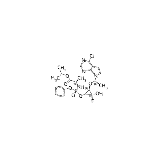 CC(C)OC(=O)[C@@H](C)NP(=O)(Oc1ccccc1)OC1[C@@H](O[C@H](C)n2ccc3c(Cl)ncnc32)[C@@]1(O)F